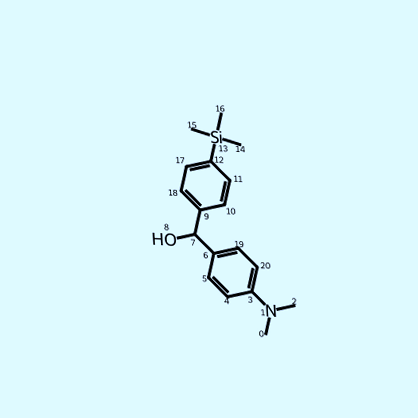 CN(C)c1ccc(C(O)c2ccc([Si](C)(C)C)cc2)cc1